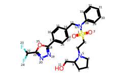 O=S(=O)(CCN1CCCC1CO)N(Cc1ccc(-c2nnc(C(F)F)o2)cc1)c1ccccc1